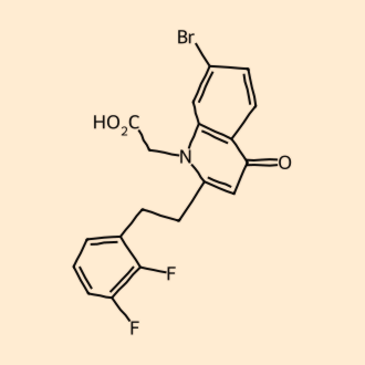 O=C(O)Cn1c(CCc2cccc(F)c2F)cc(=O)c2ccc(Br)cc21